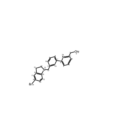 OCc1cccc(-c2cccc(CN3CCc4cc(Br)ccc43)c2)n1